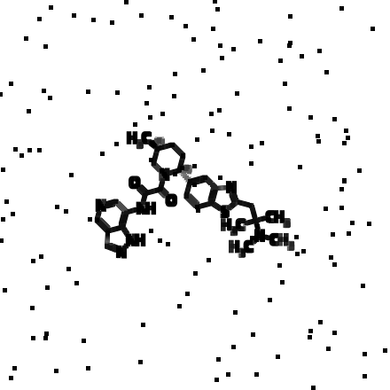 C[C@H]1CC[C@H](c2ccc3sc(CC(C)(C)N(C)C)nc3c2)N(C(=O)C(=O)Nc2cncc3cn[nH]c23)C1